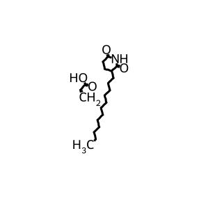 C=CC(=O)O.CCCCCCCCCCCCC1CCC(=O)NC1=O